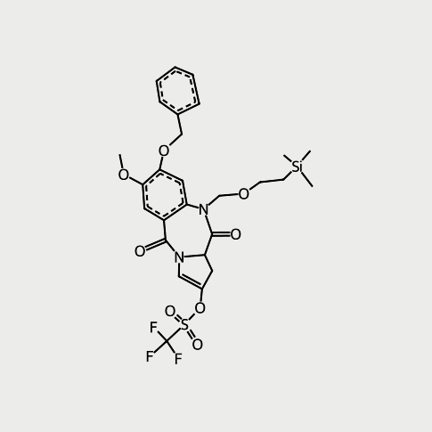 COc1cc2c(cc1OCc1ccccc1)N(COCC[Si](C)(C)C)C(=O)C1CC(OS(=O)(=O)C(F)(F)F)=CN1C2=O